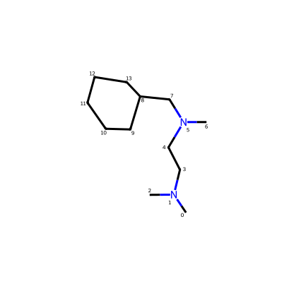 CN(C)CCN(C)CC1CCCCC1